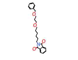 O=C1c2ccccc2C(=O)N1CCCCCCOCCCOCc1ccccc1